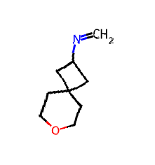 C=NC1CC2(CCOCC2)C1